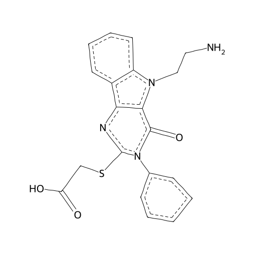 NCCn1c2ccccc2c2nc(SCC(=O)O)n(-c3ccccc3)c(=O)c21